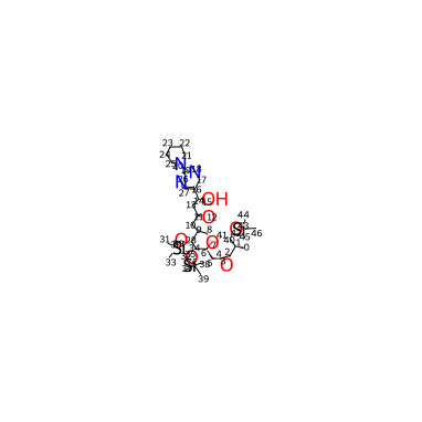 C[C@@H]([C@@H]1O[C@H]1C[C@@H]1OCC(CC(=O)CC(O)c2cnc(N3CCCCC3)nc2)[C@@H](O[Si](C)(C)C)[C@@H]1O[Si](C)(C)C)[C@H](C)O[Si](C)(C)C